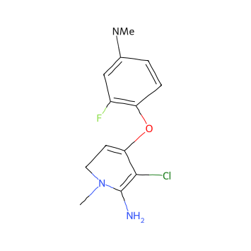 CNc1ccc(OC2=CCN(C)C(N)=C2Cl)c(F)c1